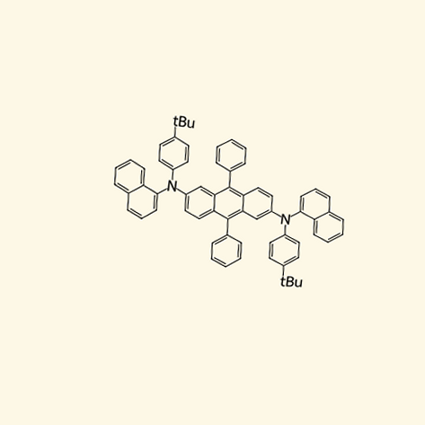 CC(C)(C)c1ccc(N(c2ccc3c(-c4ccccc4)c4cc(N(c5ccc(C(C)(C)C)cc5)c5cccc6ccccc56)ccc4c(-c4ccccc4)c3c2)c2cccc3ccccc23)cc1